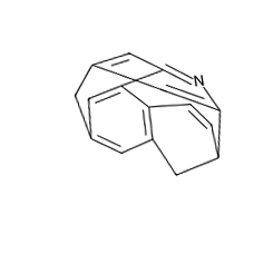 C1=CC2Cc3cc4cc(c31)-c1cc(cc2n1)C4